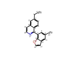 CC(C)Cc1ccc2c(-c3cc(C(C)C)cc4ccoc34)nccc2c1